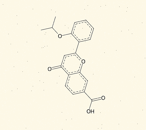 CC(C)Oc1ccccc1-c1cc(=O)c2ccc(C(=O)O)cc2o1